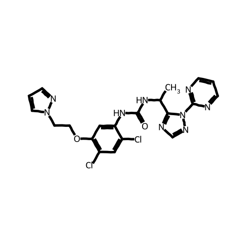 CC(NC(=O)Nc1cc(OCCn2cccn2)c(Cl)cc1Cl)c1ncnn1-c1ncccn1